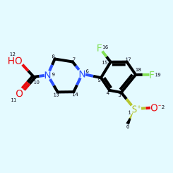 C[S@+]([O-])c1cc(N2CCN(C(=O)O)CC2)c(F)cc1F